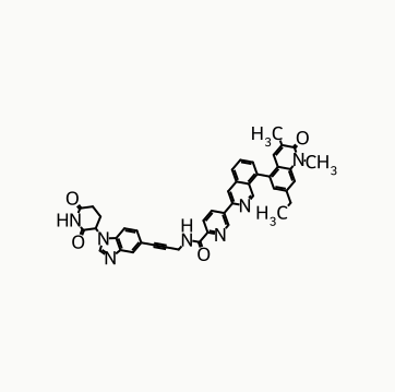 CCc1cc(-c2cccc3cc(-c4ccc(C(=O)NCC#Cc5ccc6c(c5)ncn6C5CCC(=O)NC5=O)nc4)ncc23)c2cc(C)c(=O)n(C)c2c1